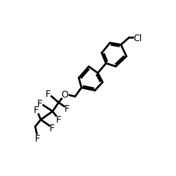 FCC(F)(F)C(F)(F)C(F)(F)OCc1ccc(-c2ccc(CCl)cc2)cc1